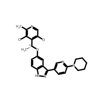 Cc1ncc(Cl)c([C@@H](C)Oc2ccc3[nH]nc(-c4ccc(N5CCCCC5)nc4)c3c2)c1Cl